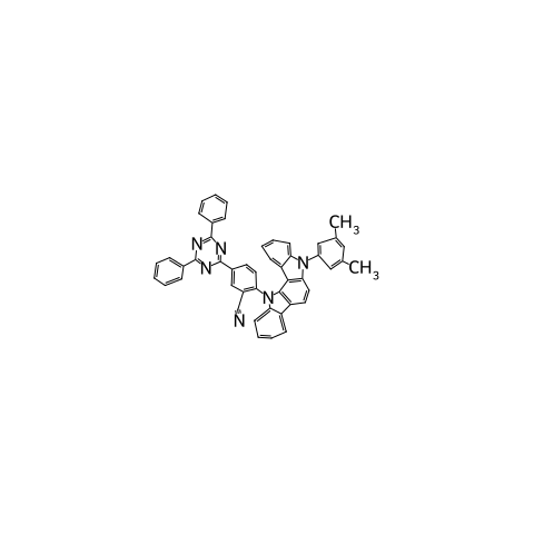 Cc1cc(C)cc(-n2c3ccccc3c3c2ccc2c4ccccc4n(-c4ccc(-c5nc(-c6ccccc6)nc(-c6ccccc6)n5)cc4C#N)c23)c1